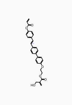 C=CC(=O)Oc1ccc(/C=C/c2ccc(-c3ccc(OCCOC(=O)C(=C)CO)cc3)cc2)cc1